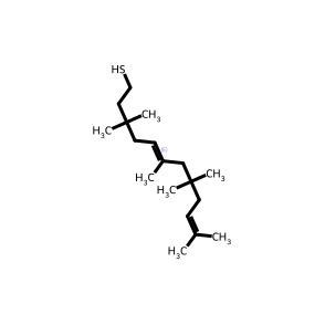 CC(C)=CCC(C)(C)C/C(C)=C/CC(C)(C)CCS